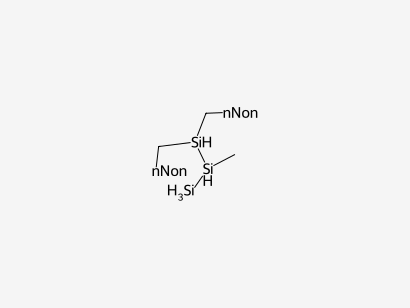 CCCCCCCCCC[SiH](CCCCCCCCCC)[SiH](C)[SiH3]